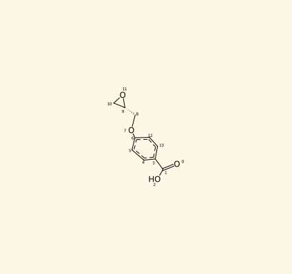 O=C(O)c1ccc(OC[C@@H]2CO2)cc1